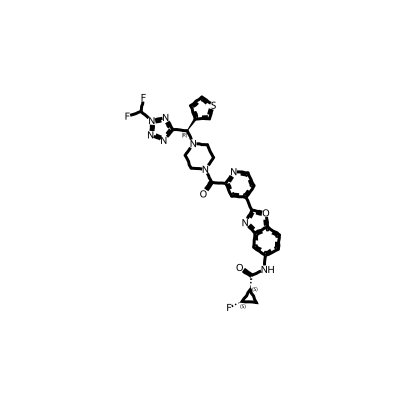 O=C(Nc1ccc2oc(-c3ccnc(C(=O)N4CCN([C@H](c5ccsc5)c5nnn(C(F)F)n5)CC4)c3)nc2c1)[C@@H]1C[C@@H]1F